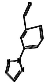 O=Cc1cccc(-n2nccn2)c1